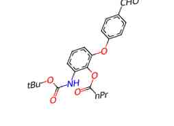 CCCC(=O)Oc1c(NC(=O)OC(C)(C)C)cccc1Oc1ccc(C=O)cc1